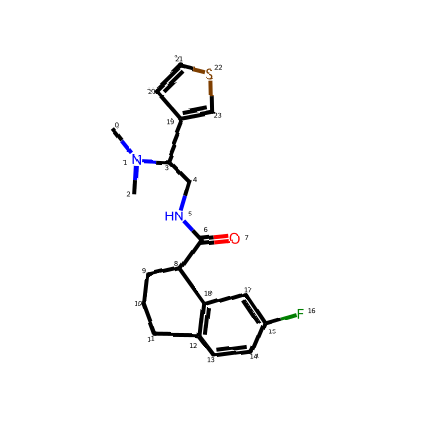 CN(C)C(CNC(=O)C1CCCc2ccc(F)cc21)c1ccsc1